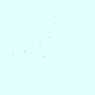 Oc1cc(Cl)c(C2CC2)c(-c2ncc3c(N4CCC(O)CC4)nc(OC[C@@]45CCCN4C[C@H](F)C5)nc3c2F)c1